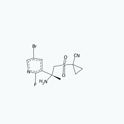 C[C@](N)(CS(=O)(=O)C1(C#N)CC1)c1cc(Br)cnc1F